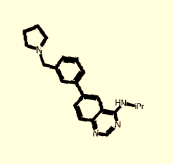 CC(C)Nc1ncnc2ccc(-c3cccc(CN4CCCC4)c3)cc12